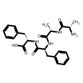 C[C@H](N)C(=O)N[C@@H](C)C(=O)N[C@@H](Cc1ccccc1)C(=O)N[C@@H](Cc1ccccc1)C(=O)O